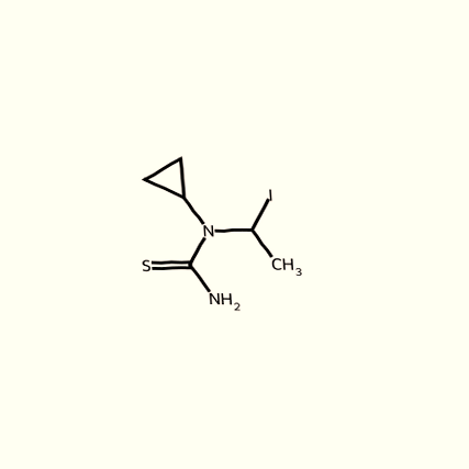 CC(I)N(C(N)=S)C1CC1